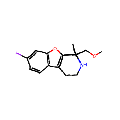 COCC1(C)NCCc2c1oc1cc(I)ccc21